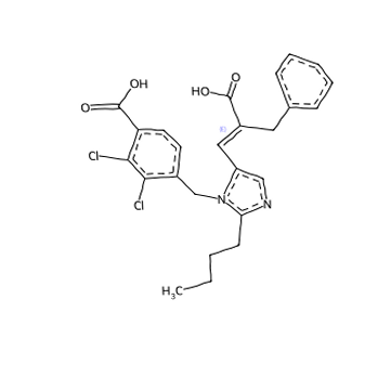 CCCCc1ncc(/C=C(\Cc2ccccc2)C(=O)O)n1Cc1ccc(C(=O)O)c(Cl)c1Cl